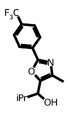 Cc1nc(-c2ccc(C(F)(F)F)cc2)oc1C(O)C(C)C